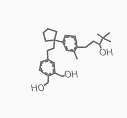 Cc1cc(C2(CCc3ccc(CO)c(CO)c3)CCCC2)ccc1CCC(O)C(C)(C)C